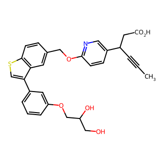 CC#CC(CC(=O)O)c1ccc(OCc2ccc3scc(-c4cccc(OCC(O)CO)c4)c3c2)nc1